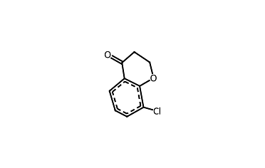 O=C1CCOc2c(Cl)cccc21